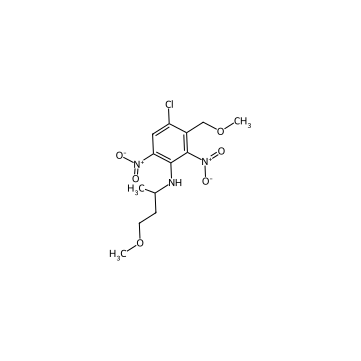 COCCC(C)Nc1c([N+](=O)[O-])cc(Cl)c(COC)c1[N+](=O)[O-]